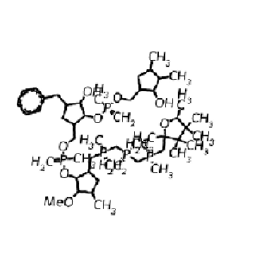 C=P(C)(CC1CC(C)C(OC)C1OP(=C)(C)OCC1CC(Cc2ccccc2)C(O)C1OP(=C)(C)OCC1CC(C)C(C)C1O)CP(=C)(C)CP(=C)(C)CC1(C)OC(C)C(C)(C)C1(C)C